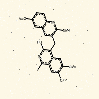 CNc1nc2ccc(OC)cc2cc1Cc1c(O)nc(C)c2cc(OC)c(OC)cc12